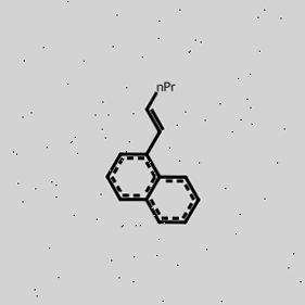 CCCC=Cc1cccc2ccccc12